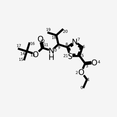 CCOC(=O)c1cnc(C(NC(=O)OC(C)(C)C)C(C)C)s1